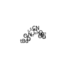 CC(C)(C)OC(=O)N1CCC(C#N)(CCOS(C)(=O)=O)CC1